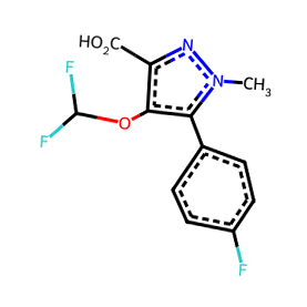 Cn1nc(C(=O)O)c(OC(F)F)c1-c1ccc(F)cc1